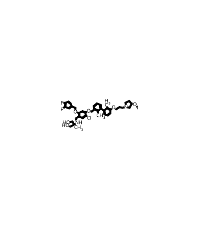 Cc1c(COc2cc(OCc3ccc(F)c(F)c3)c(CNC(C)(CO)CO)cc2Cl)cccc1-c1cccc(OCCCN2CC[C@@H](OI)C2)c1C